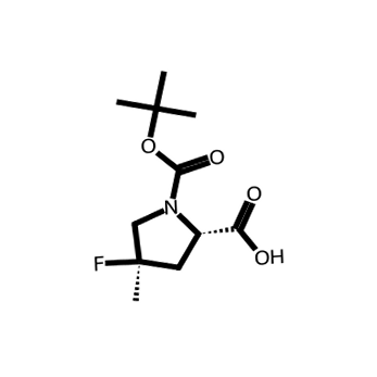 CC(C)(C)OC(=O)N1C[C@](C)(F)C[C@H]1C(=O)O